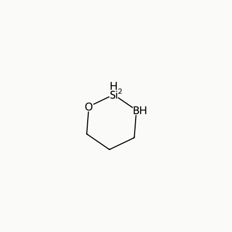 B1CCCO[SiH2]1